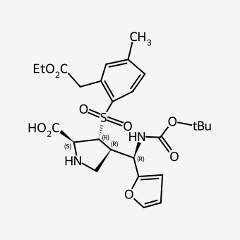 CCOC(=O)Cc1cc(C)ccc1S(=O)(=O)[C@@H]1[C@@H]([C@@H](NC(=O)OC(C)(C)C)c2ccco2)CN[C@H]1C(=O)O